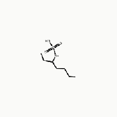 CCCC[C](CC)NS(=O)(=O)O